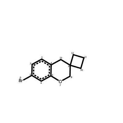 Brc1ccc2c(c1)OCC1(CCC1)C2